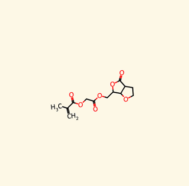 C=C(C)C(=O)OCC(=O)OCC1OC(=O)C2CCOC12